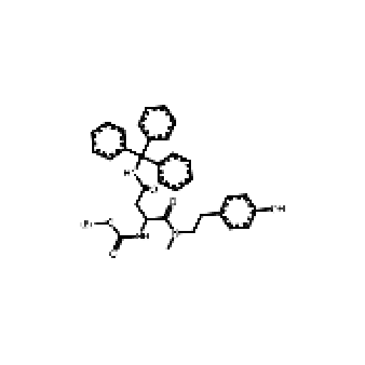 CN(CCc1ccc(O)cc1)C(=O)C(CC(=O)NC(c1ccccc1)(c1ccccc1)c1ccccc1)NC(=O)OC(C)(C)C